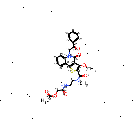 COc1c(C(=O)N(C)CCNC(=O)COC(C)=O)sc2c1c(=O)n(CC(=O)c1ccccc1)c1ccccc21